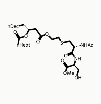 CCCCCCCCCCC[C@H](CC(=O)OCCSC[C@H](NC(C)=O)C(=O)N[C@@H](CO)C(=O)OC)OC(=O)CCCCCCC